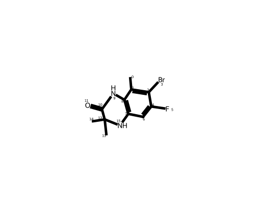 Cc1c(Br)c(F)cc2c1NC(=O)C(C)(C)N2